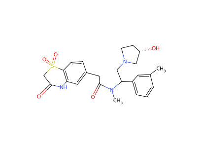 Cc1cccc(C(CN2CC[C@H](O)C2)N(C)C(=O)Cc2ccc3c(c2)NC(=O)CS3(=O)=O)c1